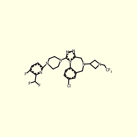 Fc1ccc(N2CCN(c3nnc4n3-c3ccc(Cl)cc3CN(C3CN(CC(F)(F)F)C3)C4)CC2)nc1C(F)F